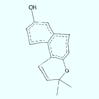 CC1(C)C=Cc2c(ccc3cc(O)ccc23)O1